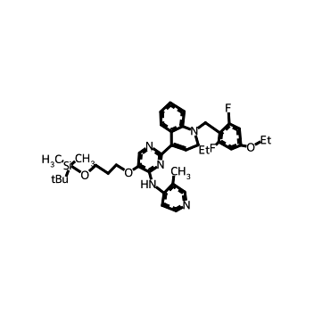 CCOc1cc(F)c(CN2c3ccccc3C(c3ncc(OCCCO[Si](C)(C)C(C)(C)C)c(Nc4ccncc4C)n3)=CC2CC)c(F)c1